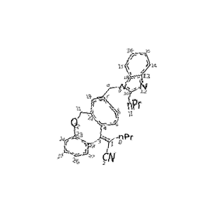 CCC/C(C#N)=C1\c2ccc(Cn3c(CCC)nc4ccccc43)cc2COc2ccccc21